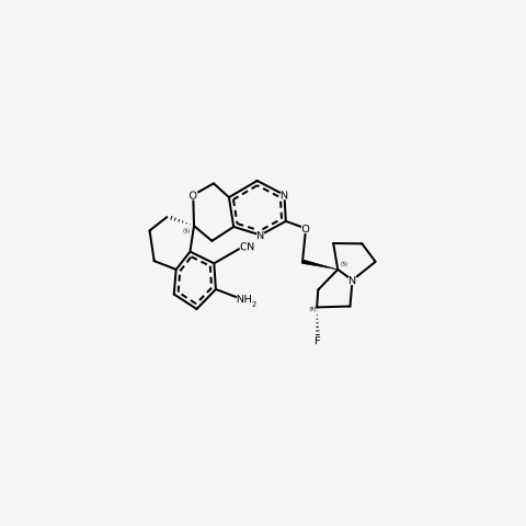 N#Cc1c(N)ccc2c1[C@]1(CCC2)Cc2nc(OC[C@@]34CCCN3C[C@H](F)C4)ncc2CO1